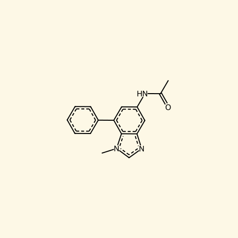 CC(=O)Nc1cc(-c2ccccc2)c2c(c1)ncn2C